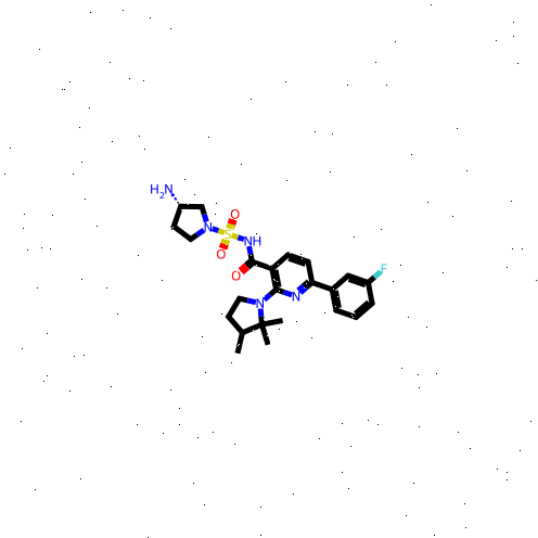 CC1CCN(c2nc(-c3cccc(F)c3)ccc2C(=O)NS(=O)(=O)N2CC[C@H](N)C2)C1(C)C